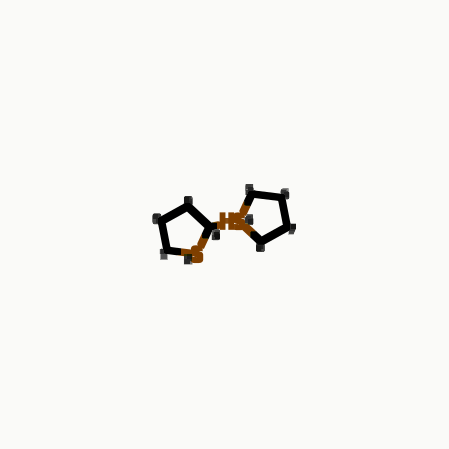 C1CSC([SH]2CCCC2)C1